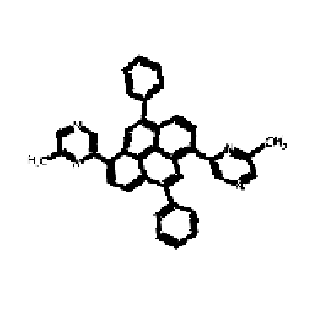 Cc1cncc(-c2ccc3c(-c4ccccc4)cc4c(-c5cncc(C)n5)ccc5c(-c6ccccc6)cc2c3c54)n1